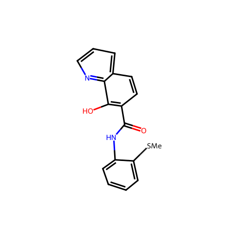 CSc1ccccc1NC(=O)c1ccc2cccnc2c1O